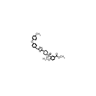 COC(=O)c1ccc(OC)c(S(=O)(=O)N2CCN(c3nc(Cc4ccc(Oc5ccc(C)cc5)cc4)ns3)CC2)c1